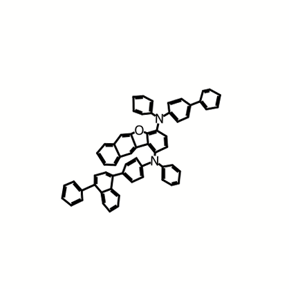 c1ccc(-c2ccc(N(c3ccccc3)c3ccc(N(c4ccccc4)c4ccc(-c5ccc(-c6ccccc6)c6ccccc56)cc4)c4c3oc3cc5ccccc5cc34)cc2)cc1